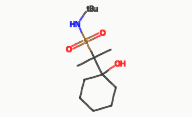 CC(C)(C)NS(=O)(=O)C(C)(C)C1(O)CCCCC1